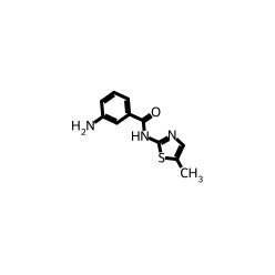 Cc1cnc(NC(=O)c2cccc(N)c2)s1